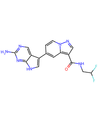 Nc1ncc2c(-c3ccn4ncc(C(=O)NCC(F)F)c4c3)c[nH]c2n1